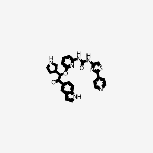 O=C(Nc1cccc(OC(C(=O)c2ccc3[nH]ccc3c2)C2CCNC2)n1)Nc1csc(-c2ccncc2)n1